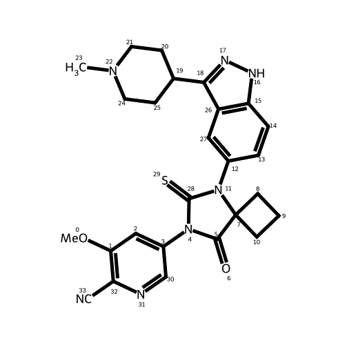 COc1cc(N2C(=O)C3(CCC3)N(c3ccc4[nH]nc(C5CCN(C)CC5)c4c3)C2=S)cnc1C#N